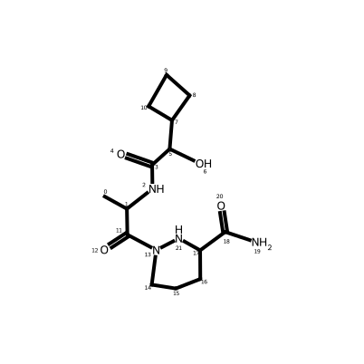 CC(NC(=O)C(O)C1CCC1)C(=O)N1CCCC(C(N)=O)N1